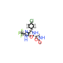 O=C1NC[C@@H](C(=O)N[C@@H](c2ccc(Cl)cc2)c2c[nH]c(C(F)(F)F)n2)O1